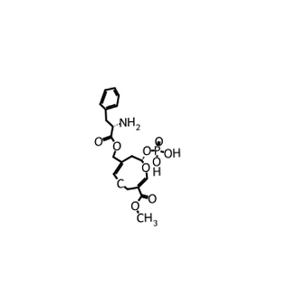 COC(=O)/C1=C/O[C@@H](OP(=O)(O)O)C/C(COC(=O)[C@@H](N)Cc2ccccc2)=C\CC1